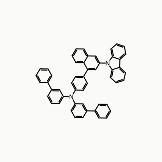 c1ccc(-c2cccc(N(c3ccc(-c4cc(-n5c6ccccc6c6ccccc65)cc5ccccc45)cc3)c3cccc(-c4ccccc4)c3)c2)cc1